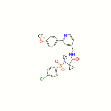 CCN(C1(C(=O)NCc2ccnc(-c3ccc(OC(F)(F)F)cc3)c2)CC1)S(=O)(=O)c1ccc(Cl)cc1